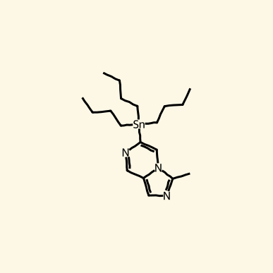 CCC[CH2][Sn]([CH2]CCC)([CH2]CCC)[c]1cn2c(C)ncc2cn1